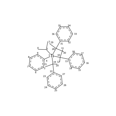 C[CH](C)[Ti]([c]1ccccc1)([C](C)(C)c1ccccc1)([C](C)(C)c1ccccc1)[C](C)(C)c1ccccc1